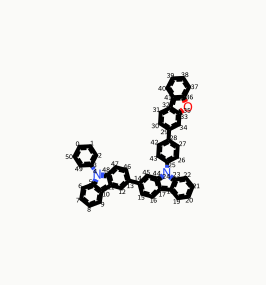 c1ccc(-n2c3ccccc3c3cc(-c4ccc5c6ccccc6n(-c6ccc(-c7ccc8c(c7)oc7ccccc78)cc6)c5c4)ccc32)cc1